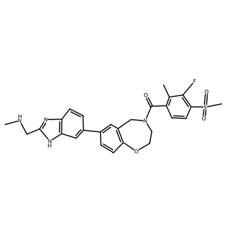 CNCc1nc2ccc(-c3ccc4c(c3)CN(C(=O)c3ccc(S(C)(=O)=O)c(F)c3C)CCO4)cc2[nH]1